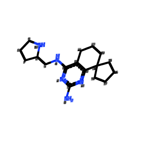 Nc1nc(NCC2CCCN2)c2c(n1)C1(CCCC1)CCC2